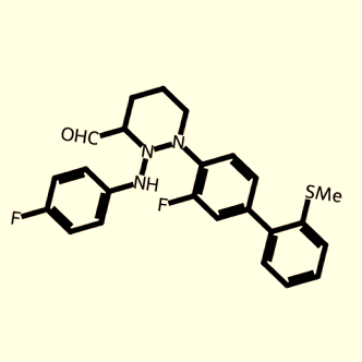 CSc1ccccc1-c1ccc(N2CCCC(C=O)N2Nc2ccc(F)cc2)c(F)c1